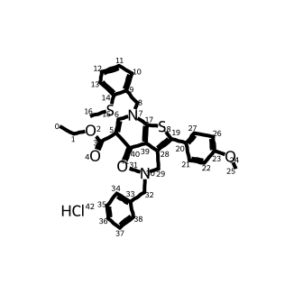 CCOC(=O)c1cn(Cc2ccccc2SC)c2sc(-c3ccc(OC)cc3)c(CN(C)Cc3ccccc3)c2c1=O.Cl